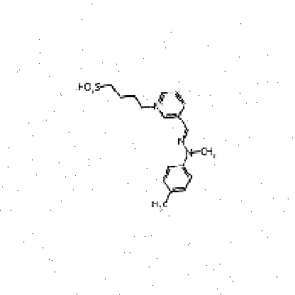 Cc1ccc(N(C)N=Cc2ccc[n+](CCCCS(=O)(=O)O)c2)cc1